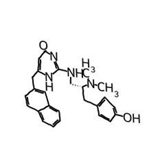 CN(C)[C@@H](CNc1nc(=O)cc(Cc2ccc3ccccc3c2)[nH]1)Cc1ccc(O)cc1